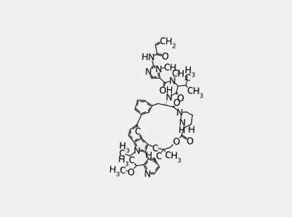 C=CC(=O)Nc1ncc(C(=O)N(C)C(C(=O)N[C@H]2Cc3cccc(c3)-c3ccc4c(c3)c(c(-c3cccnc3[C@H](C)OC)n4CC)CC(C)(C)COC(=O)[C@@H]3CCCN(N3)C2=O)C(C)C)n1C